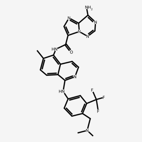 Cc1ccc2c(Nc3ccc(CN(C)C)c(C(F)(F)F)c3)nccc2c1NC(=O)c1cnc2c(N)ncnn12